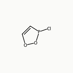 ClP1C=COO1